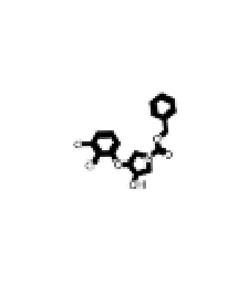 O=C(OCc1ccccc1)N1CC(O)C(Oc2cccc(Cl)c2Cl)C1